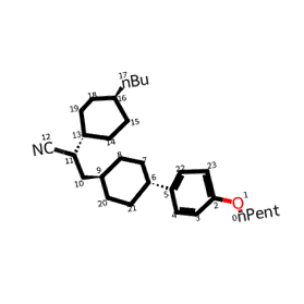 CCCCCOc1ccc([C@H]2CC[C@H](CC(C#N)[C@H]3CC[C@H](CCCC)CC3)CC2)cc1